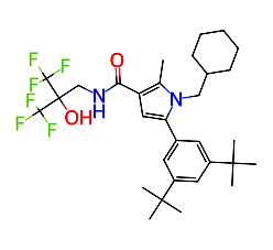 Cc1c(C(=O)NCC(O)(C(F)(F)F)C(F)(F)F)cc(-c2cc(C(C)(C)C)cc(C(C)(C)C)c2)n1CC1CCCCC1